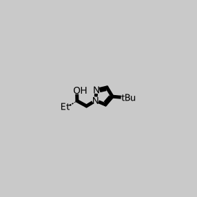 CC[C@H](O)Cn1cc(C(C)(C)C)cn1